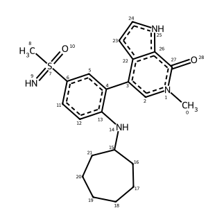 Cn1cc(-c2cc(S(C)(=N)=O)ccc2NC2CCCCCC2)c2cc[nH]c2c1=O